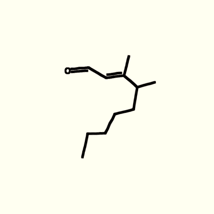 CCCCCC(C)C(C)=CC=O